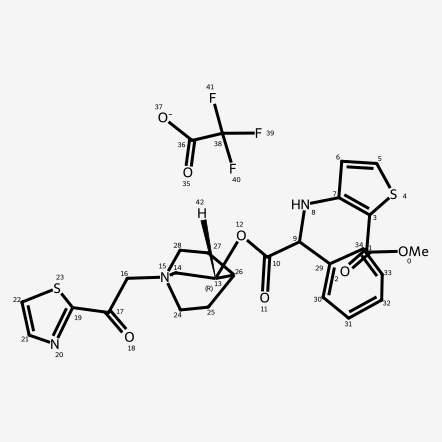 COC(=O)c1sccc1NC(C(=O)O[C@H]1C[N+]2(CC(=O)c3nccs3)CCC1CC2)c1ccccc1.O=C([O-])C(F)(F)F